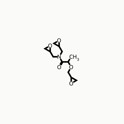 CC(OCC1CO1)C(=O)N(CC1CO1)CC1CO1